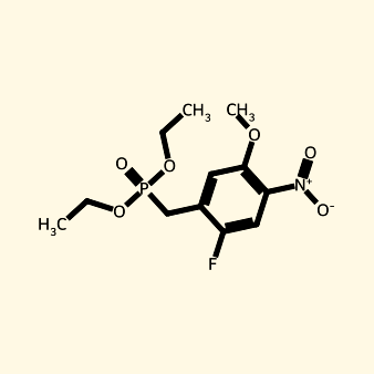 CCOP(=O)(Cc1cc(OC)c([N+](=O)[O-])cc1F)OCC